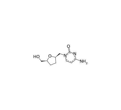 Nc1ccn(C[C@H]2CC[C@@H](CO)O2)c(=O)n1